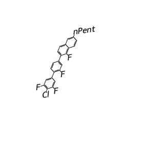 CCCCCc1ccc2c(F)c(-c3ccc(-c4cc(F)c(Cl)c(F)c4)c(F)c3)ccc2c1